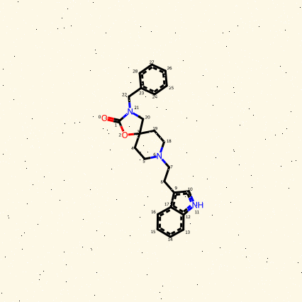 O=C1OC2(CCN(CCc3c[nH]c4ccccc34)CC2)CN1Cc1ccccc1